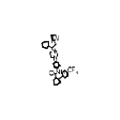 O=C(Nc1ccc(N2CCN(C(Cn3cccn3)c3ccccc3)CC2)cc1)c1ccccc1-c1ccc(C(F)(F)F)cc1